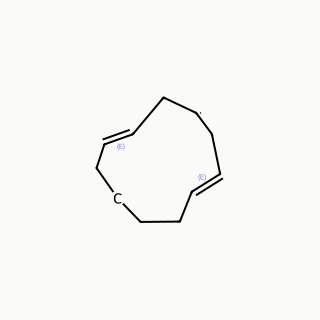 [CH]1C/C=C/CCCC/C=C/C1